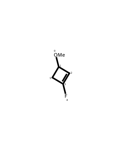 COC1C=C(F)C1